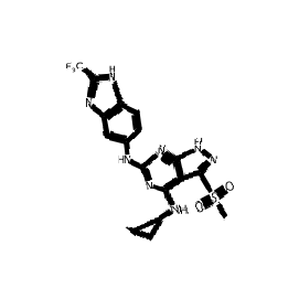 CS(=O)(=O)c1n[nH]c2nc(Nc3ccc4[nH]c(C(F)(F)F)nc4c3)nc(NC3CC3)c12